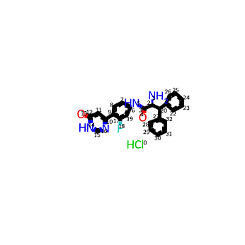 Cl.N[C@H](C(=O)Nc1ccc(-c2cc(=O)[nH]cn2)c(F)c1)C(c1ccccc1)c1ccccc1